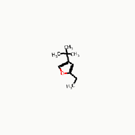 CCc1cc(C(C)(C)C)co1